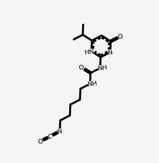 CC(C)c1cc(=O)nc(NC(=O)NCCCCCN=C=O)[nH]1